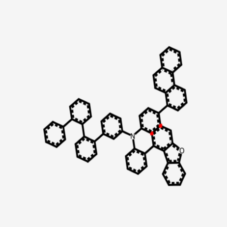 c1ccc(-c2ccccc2-c2ccccc2-c2cccc(N(c3ccc(-c4cccc5c4ccc4ccccc45)cc3)c3ccccc3-c3cccc4oc5ccccc5c34)c2)cc1